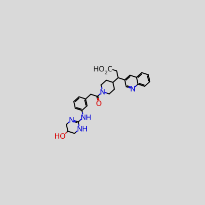 O=C(O)CC(c1cnc2ccccc2c1)C1CCN(C(=O)Cc2cccc(NC3=NCC(O)CN3)c2)CC1